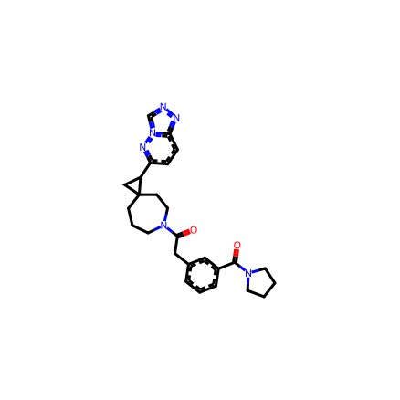 O=C(Cc1cccc(C(=O)N2CCCC2)c1)N1CCCC2(CC1)CC2c1ccc2nncn2n1